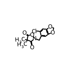 CC1(C)C(=O)ON(Cc2cc3c(cc2Cl)OCO3)C1=O